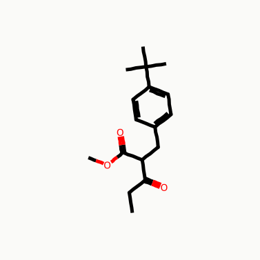 CCC(=O)C(Cc1ccc(C(C)(C)C)cc1)C(=O)OC